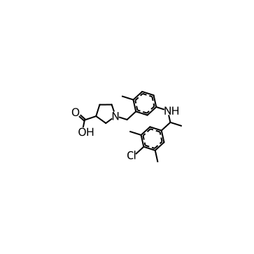 Cc1ccc(NC(C)c2cc(C)c(Cl)c(C)c2)cc1CN1CCC(C(=O)O)C1